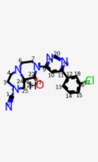 N#CN1CCN2CCN(c3cc(-c4cccc(Cl)c4)ncn3)C(=O)[C@H]2C1